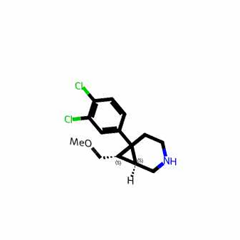 COC[C@H]1[C@@H]2CNCCC21c1ccc(Cl)c(Cl)c1